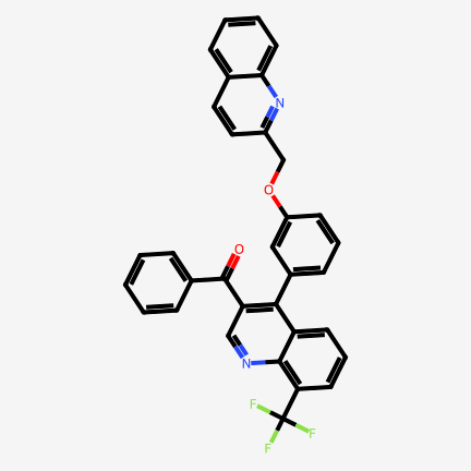 O=C(c1ccccc1)c1cnc2c(C(F)(F)F)cccc2c1-c1cccc(OCc2ccc3ccccc3n2)c1